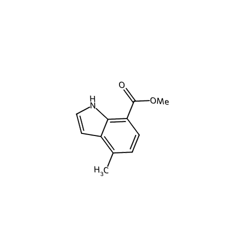 COC(=O)c1ccc(C)c2cc[nH]c12